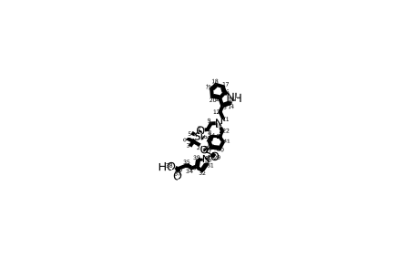 CC(C)(C)[Si](C)(C)OCCN(CCc1c[nH]c2ccccc12)Cc1ccc(S(=O)(=O)n2ccc(C=CC(=O)O)c2)cc1